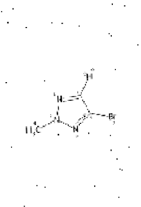 [2H]c1nn(C)nc1Br